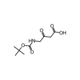 CC(C)(C)OC(=O)NCC(=O)CC(=O)O